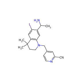 CC(N)c1cc2c(cc1I)C(C)(C)CCN2Cc1ccnc(C#N)c1